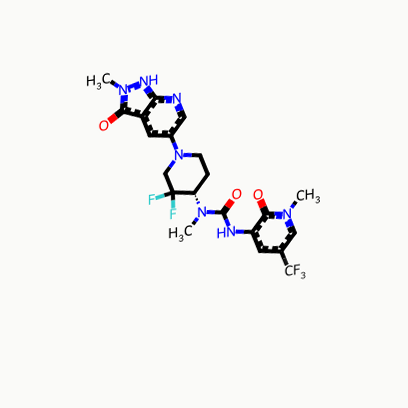 CN(C(=O)Nc1cc(C(F)(F)F)cn(C)c1=O)[C@H]1CCN(c2cnc3[nH]n(C)c(=O)c3c2)CC1(F)F